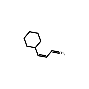 C=C/C=C\C1CCCCC1